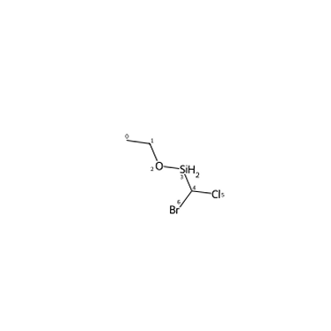 CCO[SiH2]C(Cl)Br